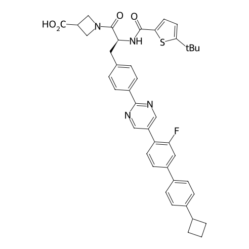 CC(C)(C)c1ccc(C(=O)N[C@@H](Cc2ccc(-c3ncc(-c4ccc(-c5ccc(C6CCC6)cc5)cc4F)cn3)cc2)C(=O)N2CC(C(=O)O)C2)s1